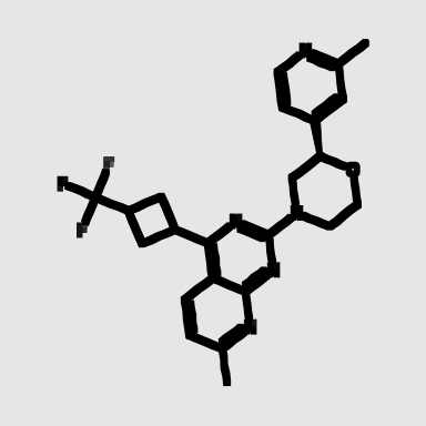 Cc1cc([C@@H]2CN(c3nc(C4CC(C(F)(F)F)C4)c4ccc(C)nc4n3)CCO2)ccn1